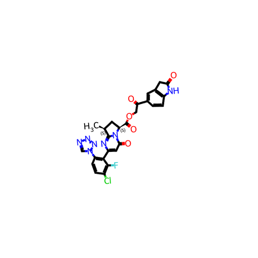 C[C@H]1C[C@@H](C(=O)OCC(=O)c2ccc3c(c2)CC(=O)N3)n2c1nc(-c1c(-n3cnnn3)ccc(Cl)c1F)cc2=O